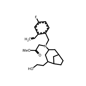 C=Cc1cc(F)ccc1CN(CC(=O)OC)C1CC2CCC(C2)C(CCO)C1